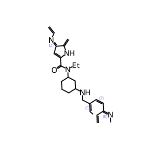 C=C/N=C1/C=C(C(=O)N(CC)C2CCCC(NCC(/C=C\C(C=C)=N\C)=C/C)C2)NC1=C